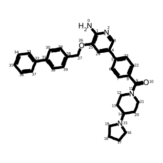 Nc1ncc(-c2ccc(C(=O)N3CCC(N4CCCC4)CC3)cc2)cc1OCc1ccc(-c2ccccc2)cc1